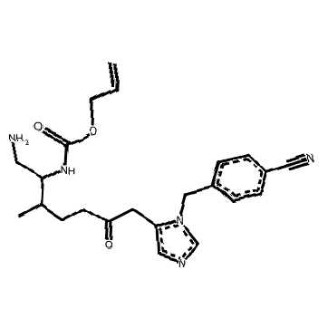 C=CCOC(=O)NC(CN)C(C)CCC(=O)Cc1cncn1Cc1ccc(C#N)cc1